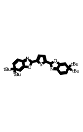 CC(C)(C)C1(C(C)(C)C)C=CC2=NC(c3ccc(C4N=C5C=CC(C(C)(C)C)(C(C)(C)C)C=C5O4)s3)OC2=C1